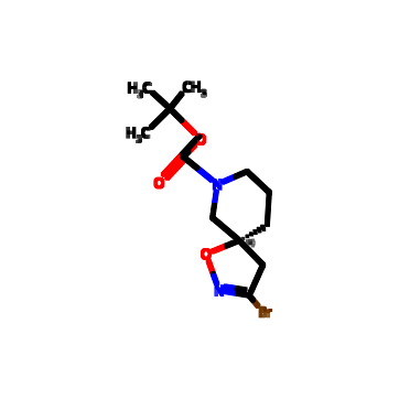 CC(C)(C)OC(=O)N1CCC[C@@]2(CC(Br)=NO2)C1